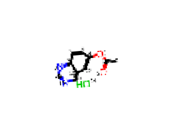 CC(=O)Oc1ccc2ncncc2c1.Cl